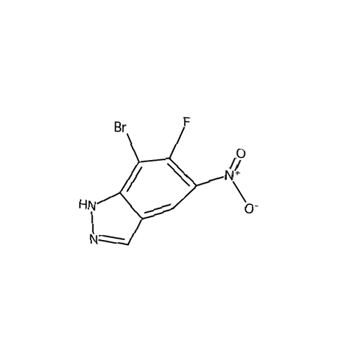 O=[N+]([O-])c1cc2cn[nH]c2c(Br)c1F